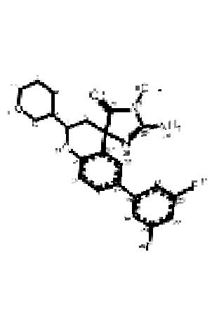 CN1C(=O)C2(CC(C3CCCOC3)Oc3ccc(-c4cc(F)cc(F)c4)cc32)N=C1N